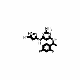 CC(C)c1cc(Nc2cc(NC(C)c3ccc(F)cc3F)nc(N)n2)n[nH]1